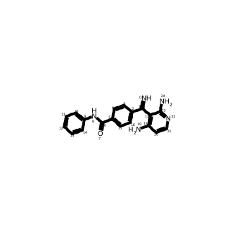 N=C(c1ccc(C(=O)Nc2ccccc2)cc1)c1c(N)ccnc1N